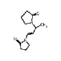 CC(C=CN1CCCC1=O)N1CCCC1=O